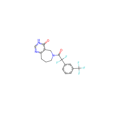 O=C(N1CCCc2nc[nH]c(=O)c2C1)C(F)(F)c1cccc(C(F)(F)F)c1